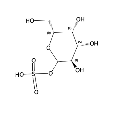 O=S(=O)(O)OC1O[C@H](CO)[C@H](O)[C@H](O)[C@H]1O